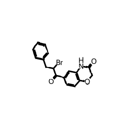 O=C1COc2ccc(C(=O)C(Br)Cc3ccccc3)cc2N1